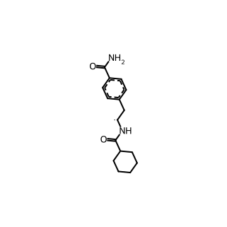 NC(=O)c1ccc(C[CH]NC(=O)C2CCCCC2)cc1